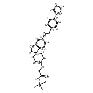 CC(C)(C)OC(=O)CCN1CCC2(CC1)COc1cc(OCc3ccc(-n4cccn4)cc3)ccc12